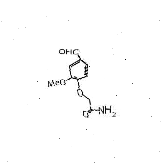 COc1cc(C=O)ccc1OCC(N)=O